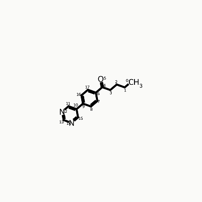 CCCCC(=O)c1ccc(-c2cncnc2)cc1